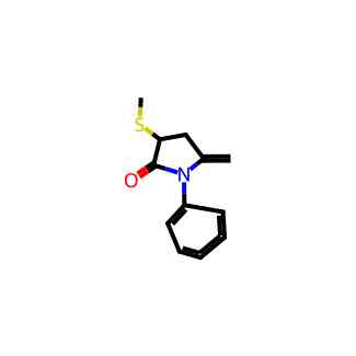 C=C1CC(SC)C(=O)N1C1=CC=C=C=C1